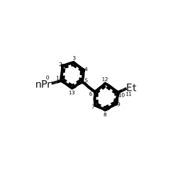 CCCc1cccc(-c2cccc(CC)c2)c1